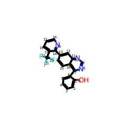 Oc1ccccc1-c1ncnc2cc(-c3ncccc3C(F)(F)F)ccc12